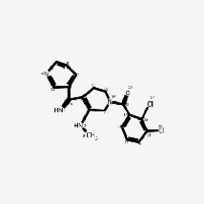 CNC1=C(C(=N)c2cccnc2)CCN(C(=O)c2cccc(Cl)c2Cl)C1